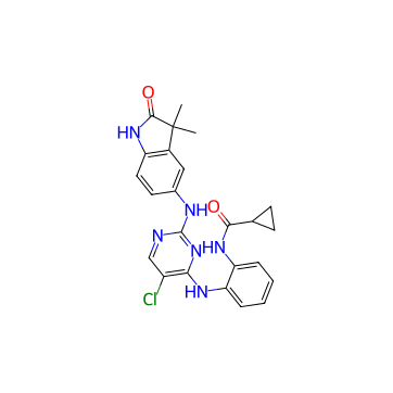 CC1(C)C(=O)Nc2ccc(Nc3ncc(Cl)c(Nc4ccccc4NC(=O)C4CC4)n3)cc21